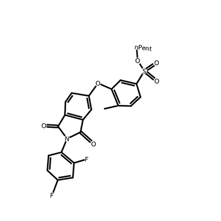 CCCCCOS(=O)(=O)c1ccc(C)c(Oc2ccc3c(c2)C(=O)N(c2ccc(F)cc2F)C3=O)c1